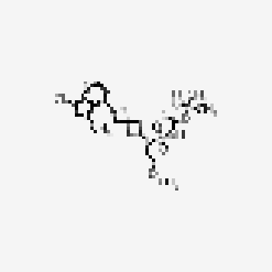 COCCN(C1CC2(C1)CN(c1ncnn3c(Cl)cc(C)c13)C2)S(=O)(=O)NC(=O)OC(C)(C)C